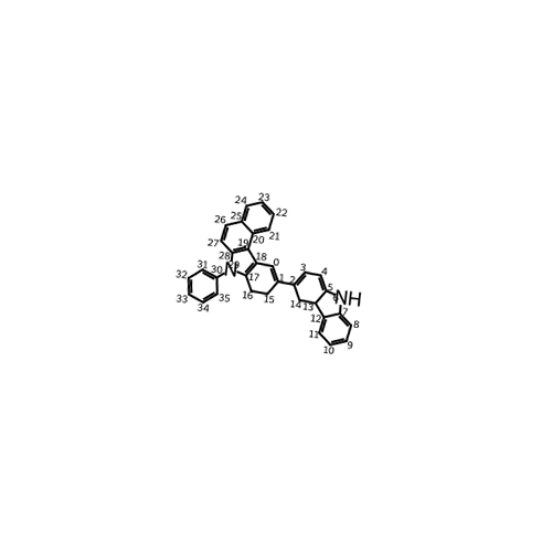 C1=C(C2=CC=C3Nc4ccccc4C3C2)CCc2c1c1c3ccccc3ccc1n2-c1ccccc1